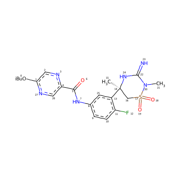 CC(C)COc1cnc(C(=O)Nc2ccc(F)c([C@]3(C)CS(=O)(=O)N(C)C(=N)N3)c2)cn1